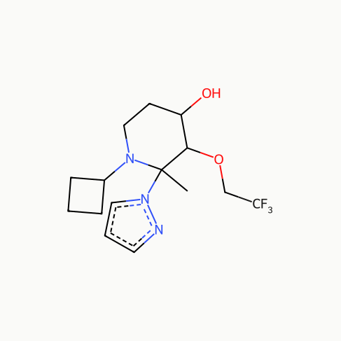 CC1(n2cccn2)C(OCC(F)(F)F)C(O)CCN1C1CCC1